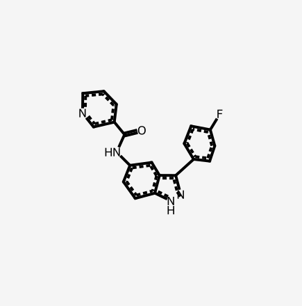 O=C(Nc1ccc2[nH]nc(-c3ccc(F)cc3)c2c1)c1cccnc1